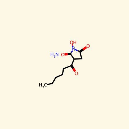 CCCCCC(=O)C1CC(=O)N(O)C1=O.N